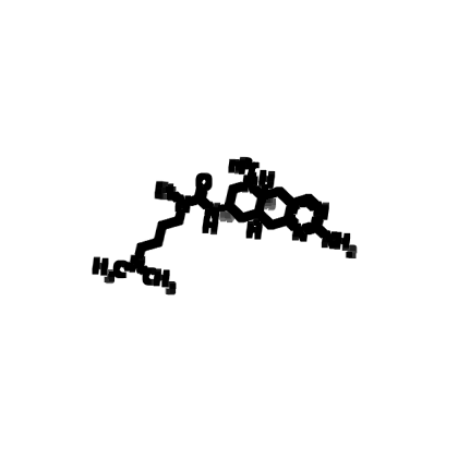 CCCN1C[C@@H](NC(=O)N(CC)CCCCN(C)C)C[C@@H]2Cc3nc(N)ncc3C[C@H]21